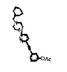 CC(=O)Oc1cccc(C#Cc2ccc(N3CCN(CC4CCCCC4)CC3)nn2)c1